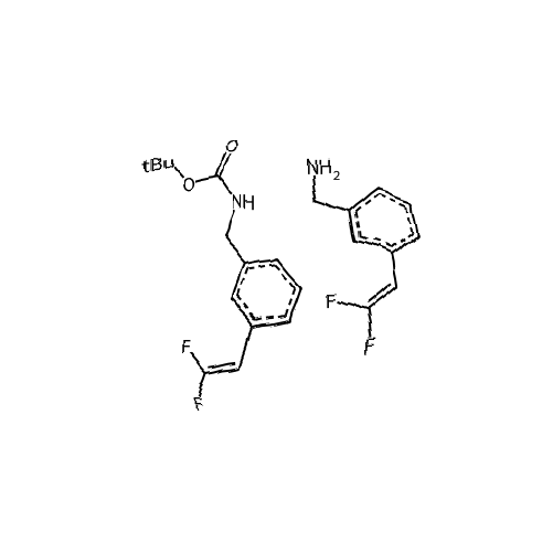 CC(C)(C)OC(=O)NCc1cccc(C=C(F)F)c1.NCc1cccc(C=C(F)F)c1